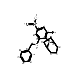 O=[N+]([O-])c1cc(F)c(N2C3CCCC2CC3)c(OCc2ccccc2)c1